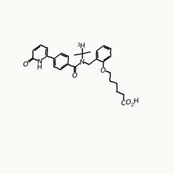 [2H]C(C)(C)N(Cc1ccccc1OCCCCCC(=O)O)C(=O)c1ccc(-c2cccc(=O)[nH]2)cc1